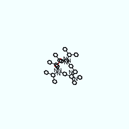 Cn1c2c(-c3ccc(-c4nc(-c5cc(-c6ccccc6)cc(-c6ccccc6)c5)nc(-c5cc(-c6ccccc6)cc(-c6ccccc6)c5)n4)cc3)cccc2c2c1c(-c1ccc(-c3nc(-c4cc(-c5ccccc5)cc(-c5ccccc5)c4)nc(-c4cc(-c5ccccc5)cc(-c5ccccc5)c4)n3)cc1)cc1c3ccccc3n(-c3ccccc3)c12